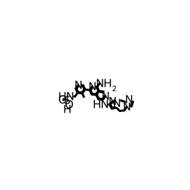 Cc1c(CN[SH](=O)=O)cncc1-c1cc2cc(Nc3cc4n(n3)Cc3nccn3CC4)ncc2c(N)n1